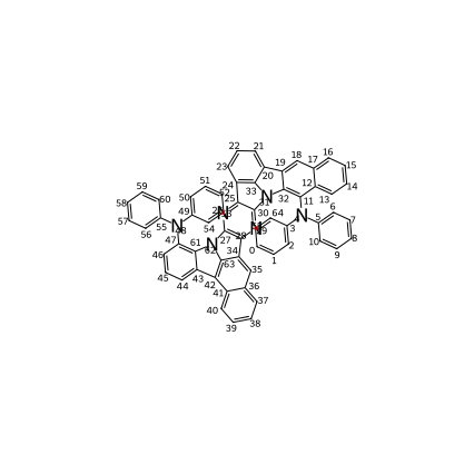 c1ccc(N(c2ccccc2)c2c3ccccc3cc3c4cccc5c6nc7c(nc6n(c23)c45)c2cc3ccccc3c3c4cccc(N(c5ccccc5)c5ccccc5)c4n7c23)cc1